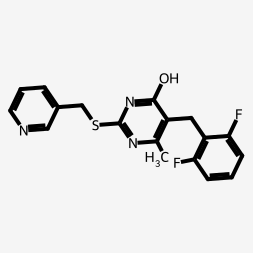 Cc1nc(SCc2cccnc2)nc(O)c1Cc1c(F)cccc1F